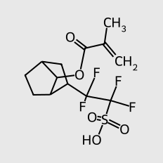 C=C(C)C(=O)OC1C2CCC1C(C(F)(F)C(F)(F)S(=O)(=O)O)C2